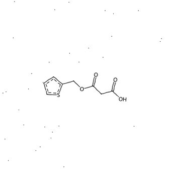 O=C(O)CC(=O)OCc1cccs1